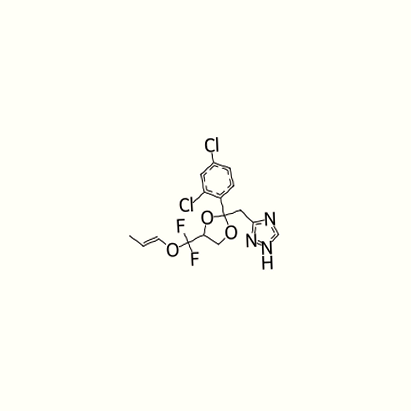 CC=COC(F)(F)C1COC(Cc2nc[nH]n2)(c2ccc(Cl)cc2Cl)O1